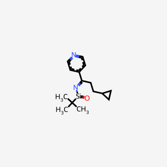 CC(C)(C)[Si](=O)/N=C(\CCC1CC1)c1ccncc1